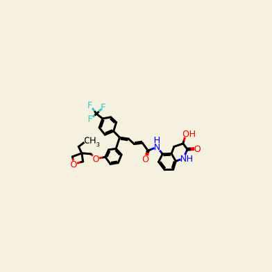 CCC1(COc2cccc(/C(=C\C=C\C(=O)Nc3cccc4c3CC(O)C(=O)N4)c3ccc(C(F)(F)F)cc3)c2)COC1